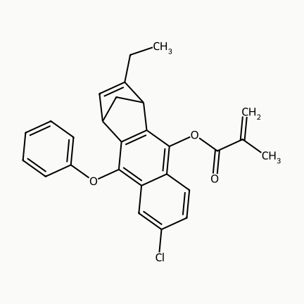 C=C(C)C(=O)Oc1c2c(c(Oc3ccccc3)c3cc(Cl)ccc13)C1C=C(CC)C2C1